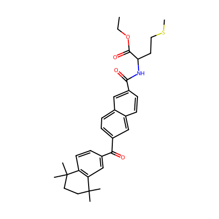 CCOC(=O)C(CCSC)NC(=O)c1ccc2cc(C(=O)c3ccc4c(c3)C(C)(C)CCC4(C)C)ccc2c1